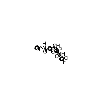 Cc1cc(C(=O)NCCc2ccccn2)ccc1C(C)N1CCC(NC(=O)c2ccc(F)c(Cl)c2)CC1